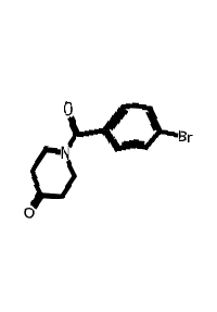 O=C1CCN(C(=O)c2ccc(Br)cc2)CC1